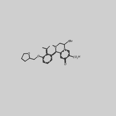 CC(C)=c1c(OCC2CCCO2)ccc/c1=C1\c2cc(=O)c(C(=O)O)cn2C(C(C)(C)C)CN1C